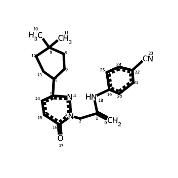 C=C(Cn1nc(C2CCC(C)(C)CC2)ccc1=O)Nc1ccc(C#N)cc1